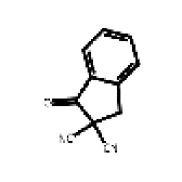 N#CC1(C#N)Cc2ccccc2C1=O